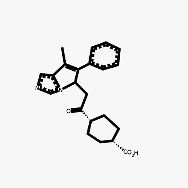 CC1=C(c2ccccc2)C(CC(=O)[C@H]2CC[C@@H](C(=O)O)CC2)n2cncc21